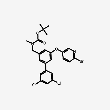 CN(Cc1cc(Oc2ccc(Br)nc2)cc(-c2cc(Cl)cc(Cl)c2)c1)C(=O)OC(C)(C)C